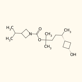 CC(C)C1CN(C(=O)OC(C)(C)CCC(C)[C@H]2C[C@@H](O)C2)C1